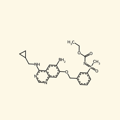 Bc1cc2c(NCC3CC3)ncnc2cc1OCc1cccc(S(C)(=O)=NC(=O)OCC)c1